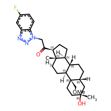 COC[C@]12CC[C@@](C)(O)C[C@H]1CC[C@H]1[C@@H]3CC[C@H](C(=O)Cn4nnc5cc(F)ccc54)[C@@]3(C)CC[C@@H]12